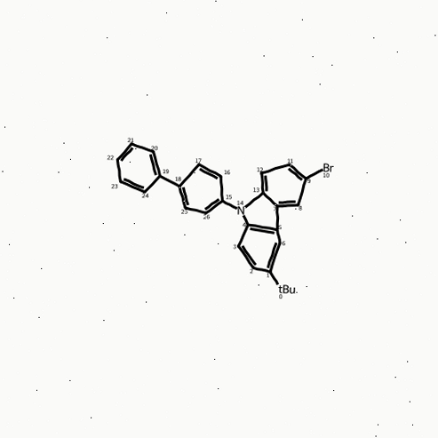 CC(C)(C)c1ccc2c(c1)c1cc(Br)ccc1n2-c1ccc(-c2ccccc2)cc1